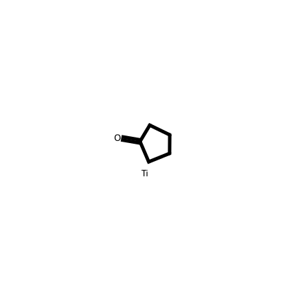 O=C1CCCC1.[Ti]